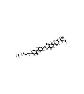 C=CCCOc1ccc(-c2ccc(CCc3ccc(C4=CCC(C(C)O)CC4)c(F)c3F)cc2)c(F)c1